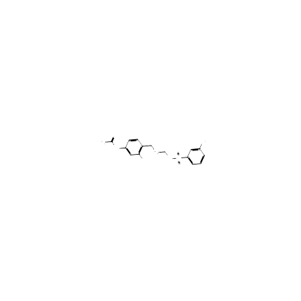 NC(=O)Oc1ccc(CNCOS(=O)(=O)c2cccc(Br)c2)c(F)c1